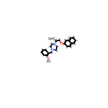 CCOc1ccccc1CN1CCN(C(C=O)COc2ccc3ccccc3c2)CC1